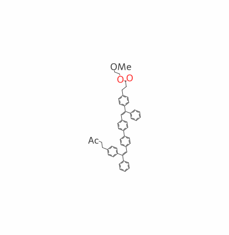 COCCOC(=O)CCc1ccc(C(=Cc2ccc(-c3ccc(C=C(c4ccccc4)c4ccc(CCC(C)=O)cc4)cc3)cc2)c2ccccc2)cc1